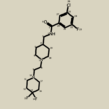 O=C(NCC1CCN(CCN2CCC(F)(F)CC2)CC1)c1cc(F)cc(Cl)c1